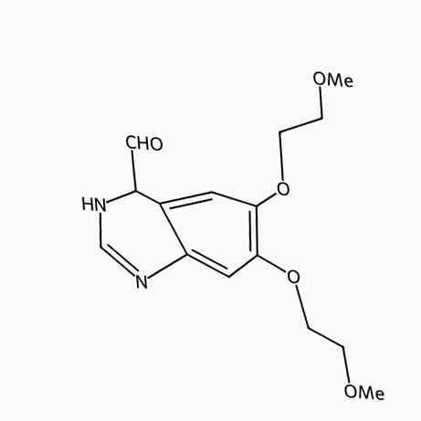 COCCOc1cc2c(cc1OCCOC)C(C=O)NC=N2